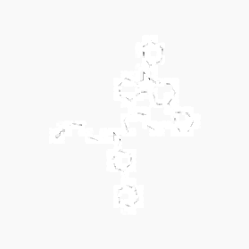 C#C/C=C\C=C/CN(/C=C/C(=C\C=C/C)c1cccc2c1c1cc(-c3ccccc3)ccc1n2-c1ccccc1)c1ccc(-c2ccccc2)cc1